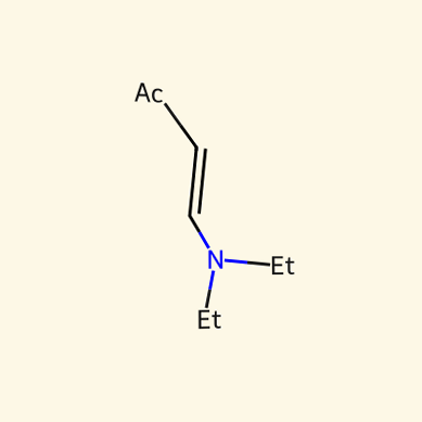 CCN(/C=C/C(C)=O)CC